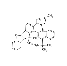 COCC1C(C)c2ccc3c(c2-c2cc(C(C)(C)C)c4ccccc4[n+]21)C(C)(C)c1c-3oc2ccccc12